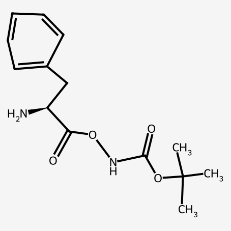 CC(C)(C)OC(=O)NOC(=O)[C@@H](N)Cc1ccccc1